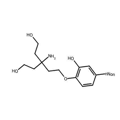 CCCCCCCCCc1ccc(OCCC(N)(CCO)CCO)c(O)c1